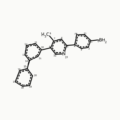 Bc1ccc(-c2cc(C)c(-c3cccc(-c4ccccc4)c3)cn2)cc1